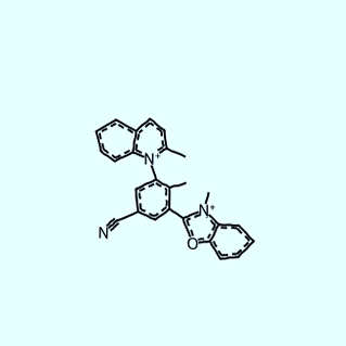 Cc1c(-c2oc3ccccc3[n+]2C)cc(C#N)cc1-[n+]1c(C)ccc2ccccc21